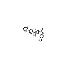 COc1ccc([C@@H](C)C(=O)N2CC[C@@]3(CCc4cc(-c5ncccn5)c(C)nc4N3)C2)cc1